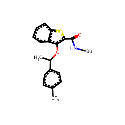 CCC(C)NC(=O)c1sc2ccccc2c1OC(C)c1ccc(C(F)(F)F)cc1